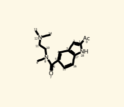 CC(=O)c1cc2cc(C(=O)N(C)CCN(C)C)ccc2[nH]1